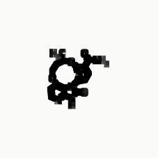 C[C@H]1CCOc2ccnc3[nH]c(=O)n(c23)-c2ccc(C(N)=O)c(n2)O1